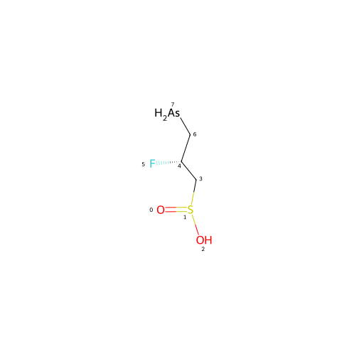 O=S(O)C[C@H](F)C[AsH2]